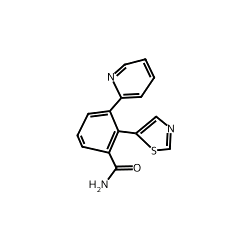 NC(=O)c1cccc(-c2ccccn2)c1-c1cncs1